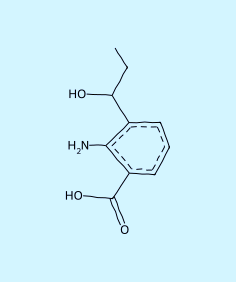 CCC(O)c1cccc(C(=O)O)c1N